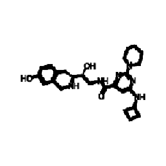 O=C(NC[C@@H](O)[C@@H]1Cc2ccc(O)cc2CN1)c1cc(NC2CCC2)nc(N2CCCCC2)n1